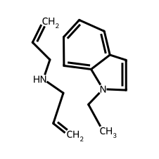 C=CCNCC=C.CCn1ccc2ccccc21